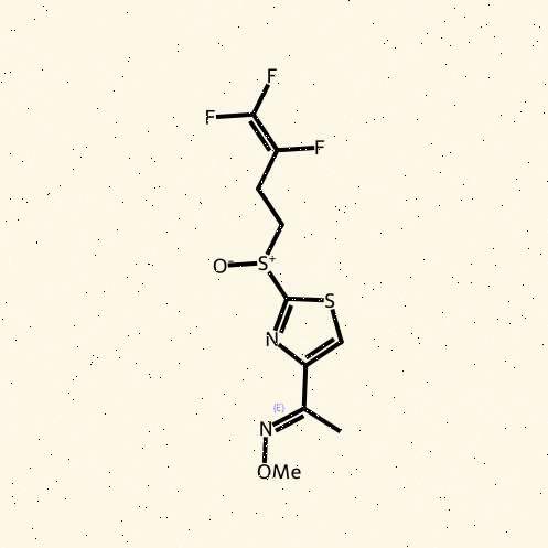 CO/N=C(\C)c1csc([S+]([O-])CCC(F)=C(F)F)n1